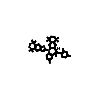 Cc1ccc(C2[C@H]3C4C=C5C(=CC4B(c4cc6cc7c(cc6s4)C(C)(C)CCC7(C)C)c4ccc(C)cc4C23C)C(C)(C)CCC5(C)C)c(C)c1